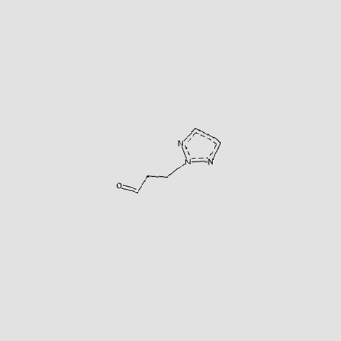 O=CCCn1nccn1